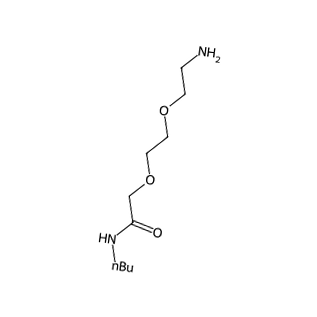 CCCCNC(=O)COCCOCCN